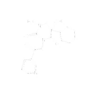 CN1CC(C)(C2CCCCC2)C(=O)N(CC(=O)c2cccnc2)C1=O